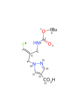 CC(C)(C)OC(=O)NC/C(=C\F)Cn1cc(C(=O)O)cn1